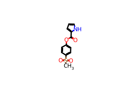 CS(=O)(=O)c1ccc(OC(=O)c2ccc[nH]2)cc1